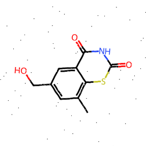 Cc1cc(CO)cc2c(=O)[nH]c(=O)sc12